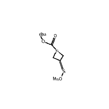 CON=C1CN(C(=O)OC(C)(C)C)C1